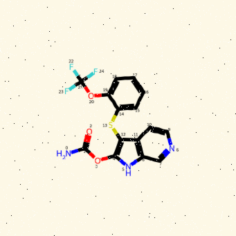 NC(=O)Oc1[nH]c2cnccc2c1Sc1ccccc1OC(F)(F)F